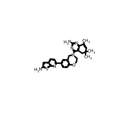 CC1=CC(C)(C)Cc2c1nc(N)nc2N1CCOc2ccc(-c3ccc4cc(N)sc4n3)cc2C1